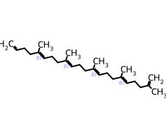 C=CCC/C(C)=C/CC/C(C)=C/CC/C(C)=C/CC/C(C)=C/CCC(=C)C